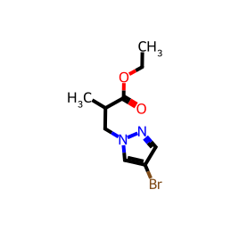 CCOC(=O)C(C)Cn1cc(Br)cn1